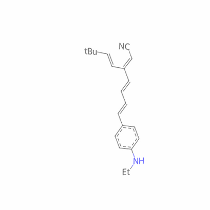 CCNc1ccc(/C=C/C=C/C(=C/C#N)/C=C/C(C)(C)C)cc1